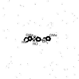 COc1cccc(C[As](C)c2ccc(S(=O)(=O)c3cc4c(cc3OC)CCNC4)cc2)c1.Cl